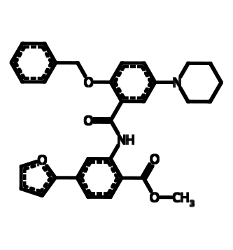 COC(=O)c1ccc(-c2ccco2)cc1NC(=O)c1cc(N2CCCCC2)ccc1OCc1ccccc1